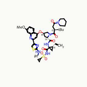 C=C[C@@H]1C[C@]1(NC(=O)[C@@H]1C[C@@H](Oc2cc(-c3csc(NC(C)C)n3)nc3cc(OC)ccc23)CN1C(=O)[C@@H](CC(=O)N1CCCCC1)C(C)(C)C)C(=O)NS(=O)(=O)C1CC1